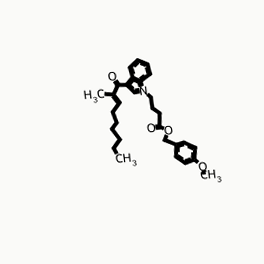 CCCCCCC=C(C)C(=O)c1cn(CCCC(=O)OCc2ccc(OC)cc2)c2ccccc12